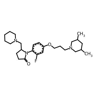 CC1CC(C)CN(CCCOc2ccc(N3C(=O)CCC3CN3CCCCC3)c(F)c2)C1